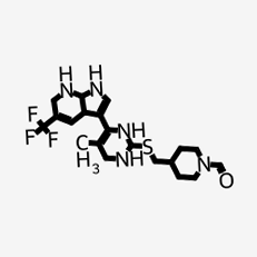 CC1=C(C2=CNC3NCC(C(F)(F)F)=CC23)NC(SCC2CCN(C=O)CC2)NC1